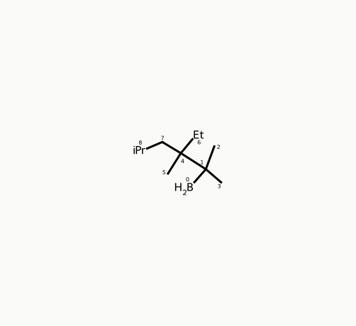 BC(C)(C)C(C)(CC)CC(C)C